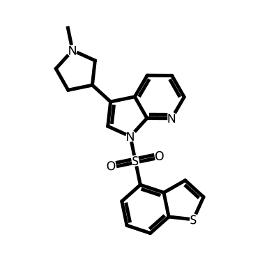 CN1CCC(c2cn(S(=O)(=O)c3cccc4sccc34)c3ncccc23)C1